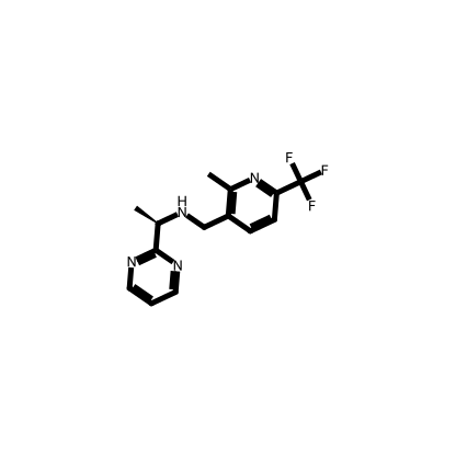 Cc1nc(C(F)(F)F)ccc1CN[C@H](C)c1ncccn1